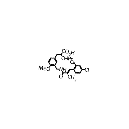 COc1ccc(CC(OC(C)C)C(=O)O)cc1CNC(=O)C(C)=Cc1ccc(Cl)cc1Cl